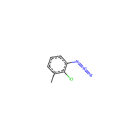 Cc1cccc(N=[N+]=[N-])c1Cl